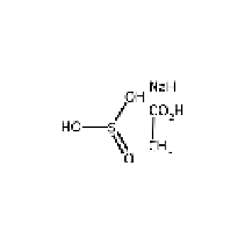 CC(=O)O.O=S(O)O.[NaH]